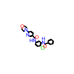 O=C(Nc1ccc(Cl)c(NC(=O)c2ccccc2)c1)c1ccc(N2CCOCC2)nc1